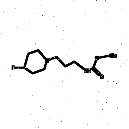 CC(C)(C)OC(=O)NCCCN1CCC(F)CC1